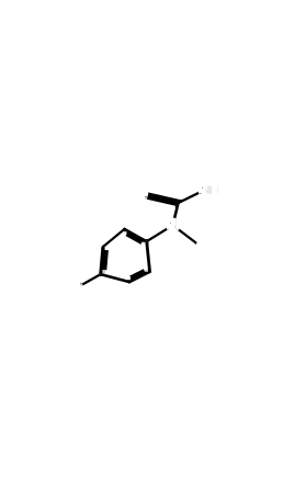 CN(C(N)=S)c1ccc(Cl)cc1